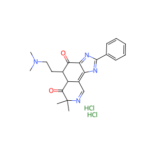 CN(C)CCC1C(=O)C2=NC(c3ccccc3)=NC2=C2C=NC(C)(C)C(=O)C21.Cl.Cl